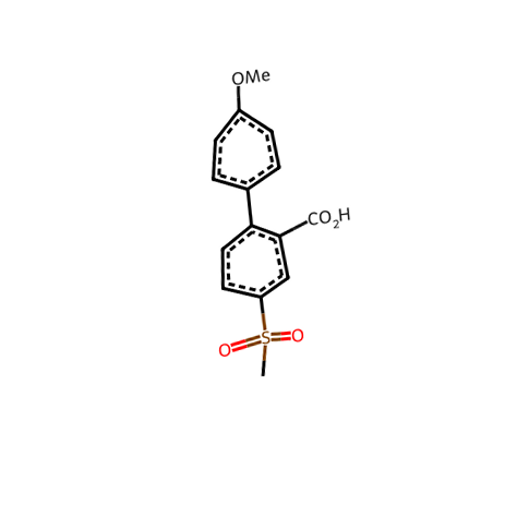 COc1ccc(-c2ccc(S(C)(=O)=O)cc2C(=O)O)cc1